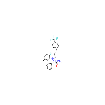 CNC(=O)C(c1ccccc1)N(CCCc1ccc(C(F)(F)F)cc1)c1cc(C)ccc1F